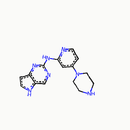 c1cc(N2CCNCC2)cc(Nc2ncc3[nH]ccc3n2)n1